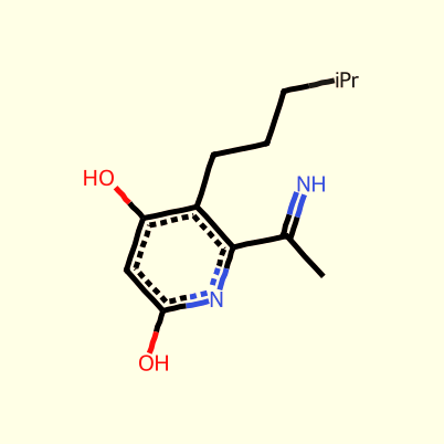 CC(=N)c1nc(O)cc(O)c1CCCC(C)C